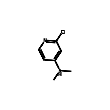 C[SH](C)c1ccnc(Cl)c1